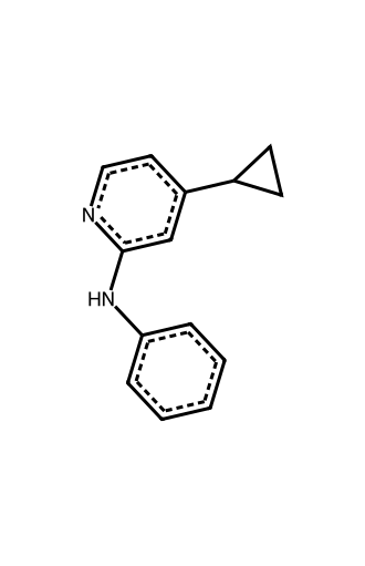 c1ccc(Nc2cc(C3CC3)ccn2)cc1